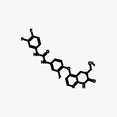 CCN1Cc2c(Oc3ccc(NC(=O)Nc4ccc(F)c(F)c4)cc3F)ccnc2NC1=O